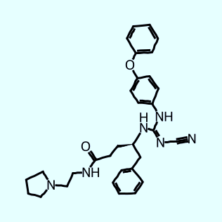 N#C/N=C(\Nc1ccc(Oc2ccccc2)cc1)N[C@H](CCC(=O)NCCN1CCCC1)Cc1ccccc1